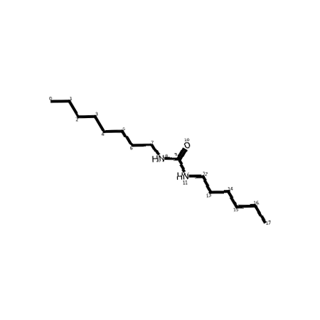 CCCCCCCCNC(=O)NCCCCCC